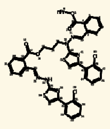 CCCOC(=O)c1ccccc1/C=N/N(CCCOC(=O)c1ccccc1/C=N/Nc1nc(-c2ccccc2Cl)cs1)c1nc(-c2ccccc2Cl)cs1